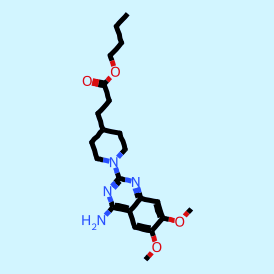 CCCCOC(=O)CCC1CCN(c2nc(N)c3cc(OC)c(OC)cc3n2)CC1